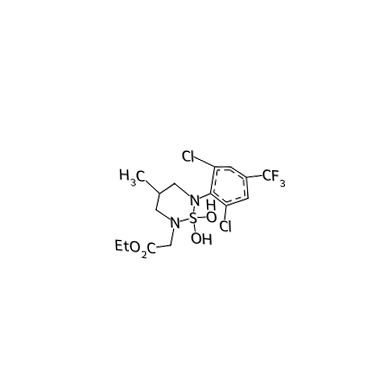 CCOC(=O)CN1CC(C)CN(c2c(Cl)cc(C(F)(F)F)cc2Cl)S1(O)O